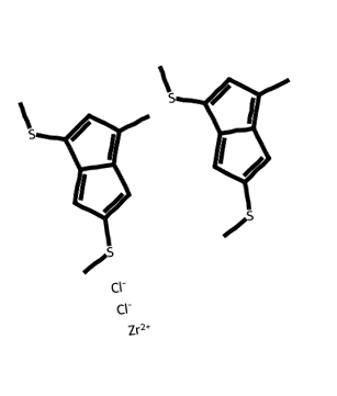 CSC1=CC2=C(C)C=C(SC)C2=C1.CSC1=CC2=C(C)C=C(SC)C2=C1.[Cl-].[Cl-].[Zr+2]